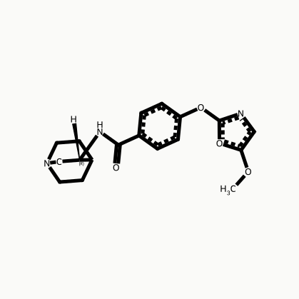 COc1cnc(Oc2ccc(C(=O)N[C@H]3CN4CCC3CC4)cc2)o1